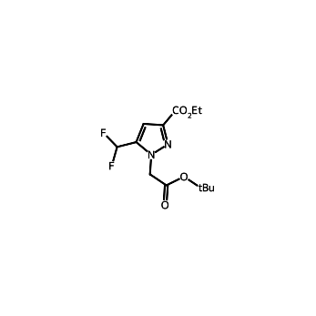 CCOC(=O)c1cc(C(F)F)n(CC(=O)OC(C)(C)C)n1